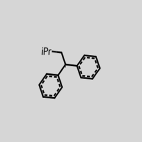 CC(C)C[C](c1ccccc1)c1ccccc1